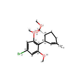 COC(=O)[C@@H]1CCC([13CH3])=C[C@H]1c1c(OC)cc(Br)cc1OC